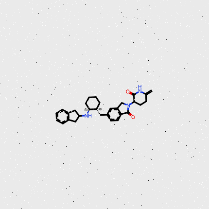 C=C1CCC(N2Cc3cc(C[C@H]4CCCC[C@@H]4NC4Cc5ccccc5C4)ccc3C2=O)C(=O)N1